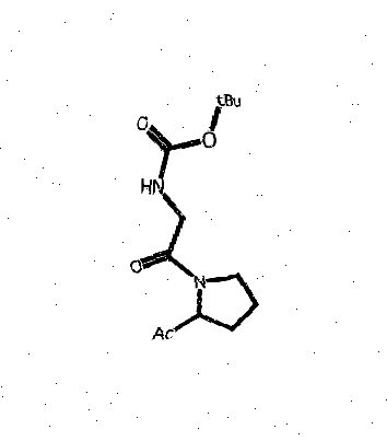 CC(=O)C1CCCN1C(=O)CNC(=O)OC(C)(C)C